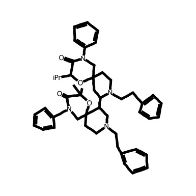 CC(C)C1OC2(CCN(CCc3ccccc3)C(C3CN(CCc4ccccc4)CCC34CN(c3ccccc3)C(=O)C(C)(C)O4)C2)CN(c2ccccc2)C1=O